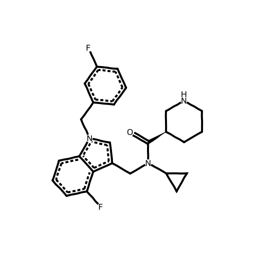 O=C([C@@H]1CCCNC1)N(Cc1cn(Cc2cccc(F)c2)c2cccc(F)c12)C1CC1